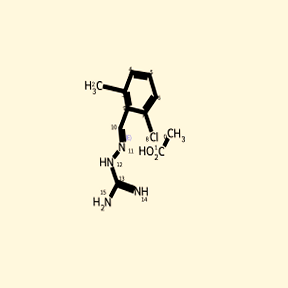 CC(=O)O.Cc1cccc(Cl)c1/C=N/NC(=N)N